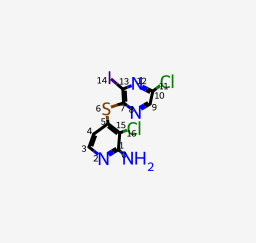 Nc1nccc(Sc2ncc(Cl)nc2I)c1Cl